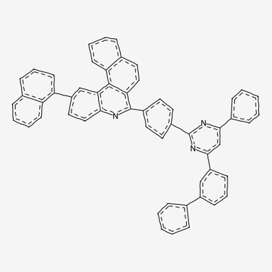 c1ccc(-c2cccc(-c3cc(-c4ccccc4)nc(-c4ccc(-c5nc6ccc(-c7cccc8ccccc78)cc6c6c5ccc5ccccc56)cc4)n3)c2)cc1